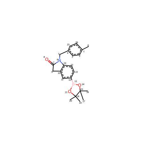 Cc1ccc(CN2C(=O)Cc3cc(B4OC(C)(C)C(C)(C)O4)ccc32)cc1